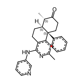 Cc1nc(Nc2cccnc2)c2c(n1)[C@@]1(c3ccccc3)CCC(=O)[C@@H](C)[C@@H]1CC2